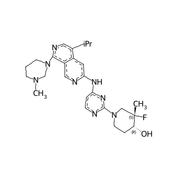 CC(C)c1cnc(N2CCCN(C)C2)c2cnc(Nc3ccnc(N4CC[C@@H](O)[C@@](C)(F)C4)n3)cc12